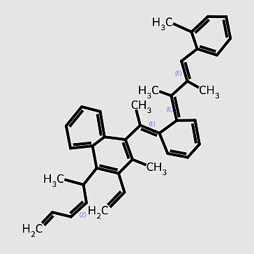 C=C/C=C\C(C)c1c(C=C)c(C)c(\C(C)=c2/cccc/c2=C(C)\C(C)=C\c2ccccc2C)c2ccccc12